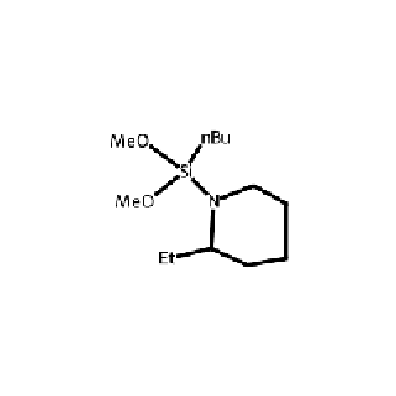 CCCC[Si](OC)(OC)N1CCCCC1CC